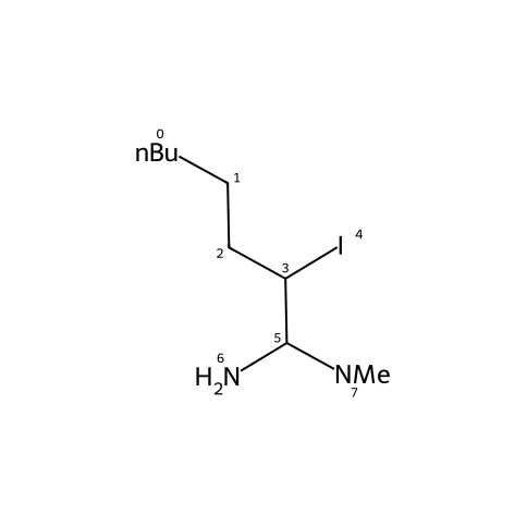 CCCCCCC(I)C(N)NC